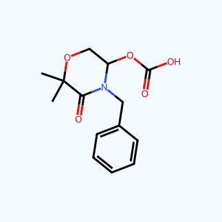 CC1(C)OCC(OC(=O)O)N(Cc2ccccc2)C1=O